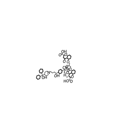 CC(C)(C(=O)OC(COc1cccc2oc(C(=O)O)cc(=O)c12)COc1cccc2oc(C(=O)O)cc(=O)c12)c1ccc(C(O)CCCN2CCC(C(O)(c3ccccc3)c3ccccc3)CC2)cc1